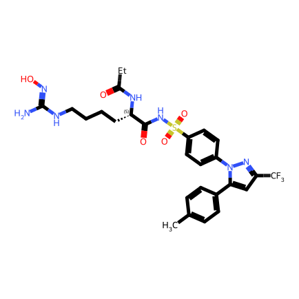 CCC(=O)N[C@@H](CCCCNC(N)=NO)C(=O)NS(=O)(=O)c1ccc(-n2nc(C(F)(F)F)cc2-c2ccc(C)cc2)cc1